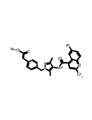 COC(=O)Cc1ccc(Cn2nc(C)c(NC(=O)c3cc(C(F)(F)F)nc4ccc(Br)cc34)c2C)cc1